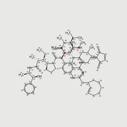 CC[C@H](C)[C@@H]([C@@H](CC(=O)N1CCC[C@H]1[C@H](OC)[C@@H](C)C(=O)N[C@H](C)[C@@H](O)c1ccccc1)OC)N(C)C(=O)[C@H](NC(=O)[C@H](C(C)C)N(C)C(=O)OCc1ccc(NC(=O)OC2/C=C/COCOC2)c(C(=O)NCCN2C(=O)C=CC2=O)c1)C(C)C